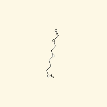 CCCCOCCOP=O